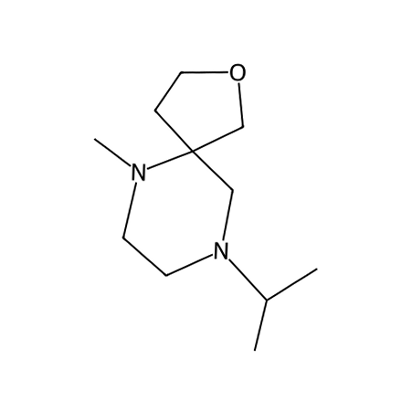 CC(C)N1CCN(C)C2(CCOC2)C1